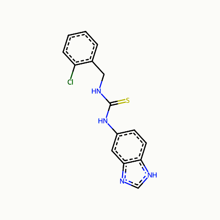 S=C(NCc1ccccc1Cl)Nc1ccc2[nH]cnc2c1